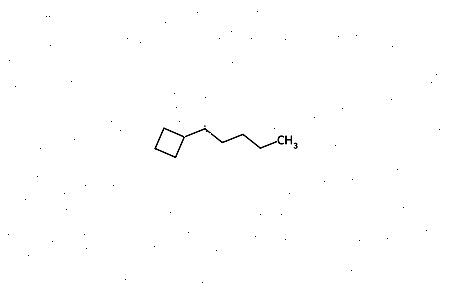 CCCC[CH]C1CCC1